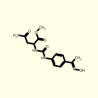 COC(=O)C(CC(N)=O)NC(=O)Nc1ccc(/C(C)=N/O)cc1